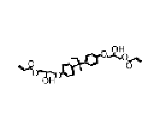 C=CC(=O)OCC(O)COc1ccc(C(C)(CC)c2ccc(OCC(O)COC(=O)C=C)cc2)cc1